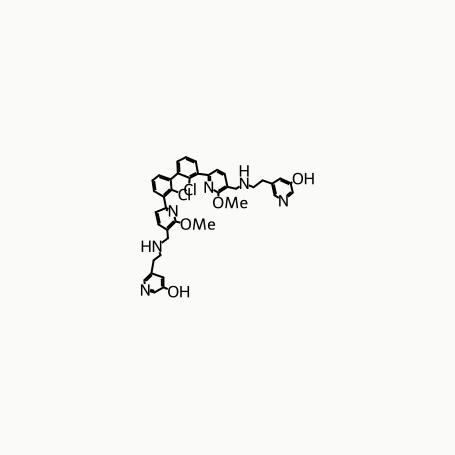 COc1nc(-c2cccc(-c3cccc(-c4ccc(CNCCc5cncc(O)c5)c(OC)n4)c3Cl)c2Cl)ccc1CNCCc1cncc(O)c1